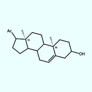 CC(=O)C1CCC2C3CC=C4CC(O)CC[C@]4(C)C3CC[C@]12C